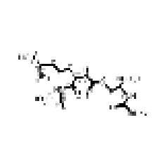 CCCCCCC(=O)NC(COC(=O)N[C@H](CCC[C@H](N)C(=O)O)C(=O)N[C@H](C)C(=O)O)C(=O)O